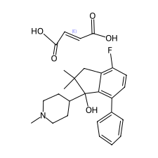 CN1CCC(C2(O)c3c(-c4ccccc4)ccc(F)c3CC2(C)C)CC1.O=C(O)/C=C/C(=O)O